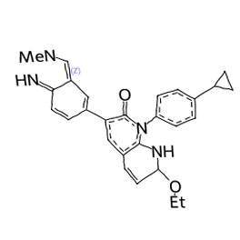 CCOC1C=Cc2cc(C3=C/C(=C/NC)C(=N)C=C3)c(=O)n(-c3ccc(C4CC4)cc3)c2N1